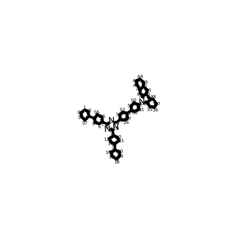 c1ccc(-c2ccc(-c3nc(-c4ccc(-c5ccccc5)cc4)nc(-c4ccc(-c5ccc(-n6c7ccccc7c7cc8ccccc8cc76)cc5)cc4)n3)cc2)cc1